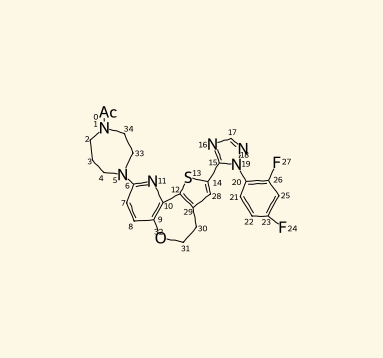 CC(=O)N1CCCN(c2ccc3c(n2)-c2sc(-c4ncnn4-c4ccc(F)cc4F)cc2CCO3)CC1